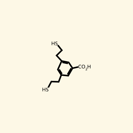 O=C(O)c1cc(CCS)cc(CCS)c1